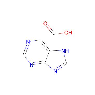 O=CO.c1ncc2[nH]cnc2n1